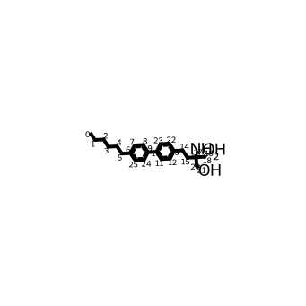 CCCCCCc1ccc(-c2ccc(CCC(N)(CO)CO)cc2)cc1